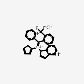 FC(F)(F)c1ccccc1[C](c1ccccc1)=[Zr+2]([C]1=CC=CC1)[CH]1C=Cc2ccccc21.[Cl-].[Cl-]